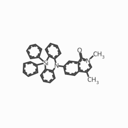 Cc1cn(C)c(=O)c2cc(N3c4ccccc4[Si](c4ccccc4)(c4ccccc4)c4ccccc43)ccc12